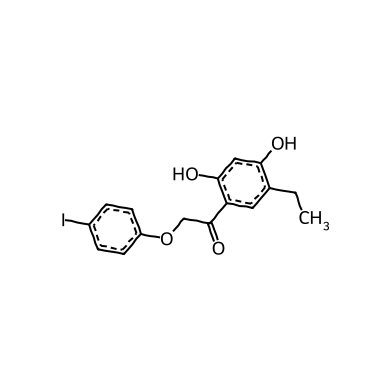 CCc1cc(C(=O)COc2ccc(I)cc2)c(O)cc1O